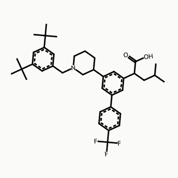 CC(C)CC(C(=O)O)c1cc(-c2ccc(C(F)(F)F)cc2)cc(C2CCCN(Cc3cc(C(C)(C)C)cc(C(C)(C)C)c3)C2)c1